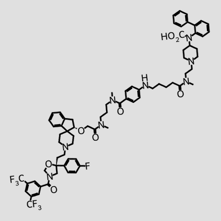 CN(CCN1CCC(N(C(=O)O)c2ccccc2-c2ccccc2)CC1)C(=O)CCCCNc1ccc(C(=O)N(C)CCCN(C)C(=O)CO[C@H]2Cc3ccccc3C23CCN(CC[C@@]2(c4ccc(F)cc4)CN(C(=O)c4cc(C(F)(F)F)cc(C(F)(F)F)c4)CO2)CC3)cc1